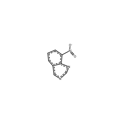 O=[N+]([O-])c1cccc2cncnc12